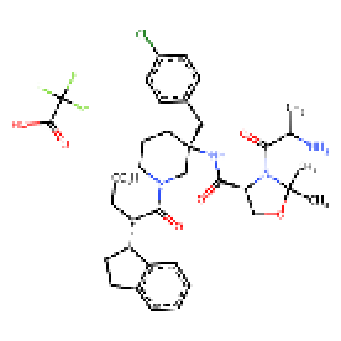 CC(N)C(=O)N1[C@H](C(=O)N[C@@]2(Cc3ccc(Cl)cc3)CCCN(C(=O)C(CC(=O)O)[C@H]3CCc4ccccc43)C2)COC1(C)C.O=C(O)C(F)(F)F